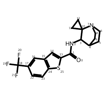 O=C(NC1C2CCN(CC2)C12CC2)c1cc2cc(C(F)(F)F)ccc2s1